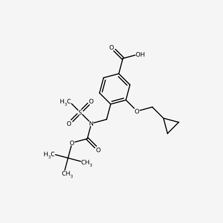 CC(C)(C)OC(=O)N(Cc1ccc(C(=O)O)cc1OCC1CC1)S(C)(=O)=O